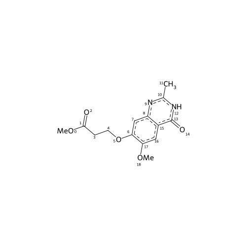 COC(=O)CCOc1cc2nc(C)[nH]c(=O)c2cc1OC